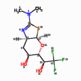 CN(C)C1=N[C@@H]2C[C@H](O)[C@@H]([C@H](O)C(F)(F)F)O[C@@H]2S1